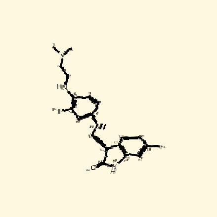 CN(C)CCNc1ccc(N/C=C2/C(=O)Nc3cc(F)ccc32)cc1F